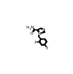 NC(=O)c1cncn1Cc1ccc(F)cc1F